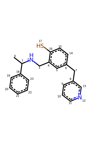 CC(NCc1cc(Cc2cccnc2)ccc1S)c1ccccc1